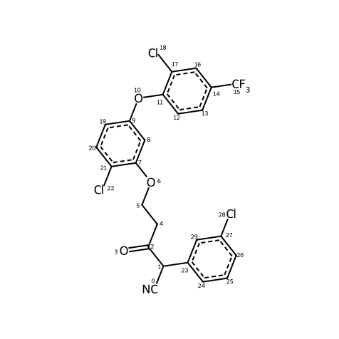 N#CC(C(=O)CCOc1cc(Oc2ccc(C(F)(F)F)cc2Cl)ccc1Cl)c1cccc(Cl)c1